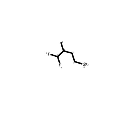 CC(CCC(C)(C)C)C(F)F